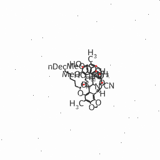 CCCCCCCCCCCCCCCC(=O)Oc1c(C)c2c(c3c1[C@H]1SC[C@]4(NCCc5cc(O)c(OC)cc54)C(=O)OC[C@@H]3N3C1[C@@H]1c4c(cc(C)c(OC)c4O)CC([C@@H]3C#N)N1C)OCO2